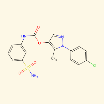 NS(=O)(=O)c1cccc(NC(=O)Oc2cnn(-c3ccc(Cl)cc3)c2C(F)(F)F)c1